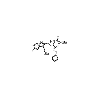 Cc1cc2nc(CCC(NC(=O)OC(C)(C)C)C(=O)OCc3ccccc3)n(CC(C)(C)C)c2cc1C